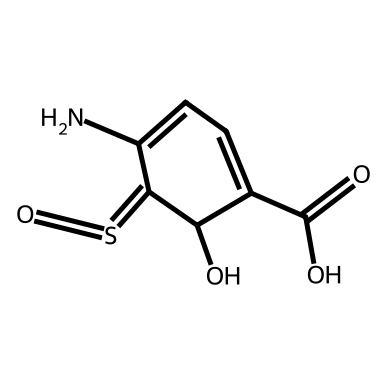 NC1=CC=C(C(=O)O)C(O)C1=S=O